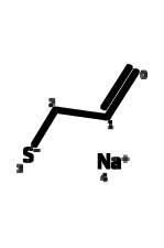 C=CC[S-].[Na+]